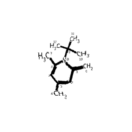 C=C1C=C(C)C=C(C)N1C(C)(C)C